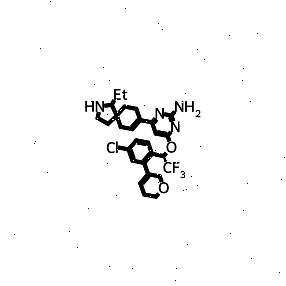 CCC1NCCC12CC=C(c1cc(O[C@H](c3ccc(Cl)cc3C3=CCCOC3)C(F)(F)F)nc(N)n1)CC2